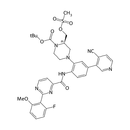 COc1cccc(F)c1-c1nccc(C(=O)Nc2ccc(-c3cnccc3C#N)cc2N2CCN(C(=O)OC(C)(C)C)[C@@H](COS(C)(=O)=O)C2)n1